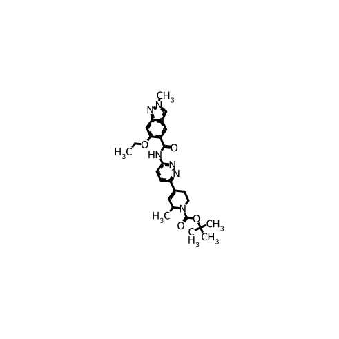 CCOc1cc2nn(C)cc2cc1C(=O)Nc1ccc(C2=CC(C)N(C(=O)OC(C)(C)C)CC2)nn1